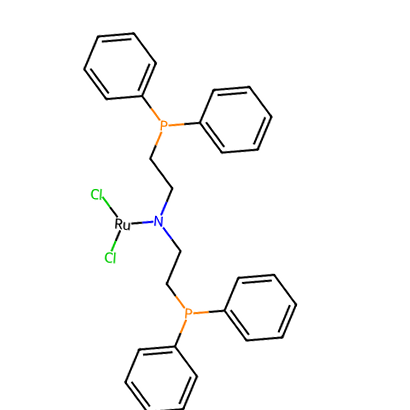 [Cl][Ru]([Cl])[N](CCP(c1ccccc1)c1ccccc1)CCP(c1ccccc1)c1ccccc1